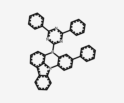 c1ccc(-c2ccc3c(c2)N(c2nc(-c4ccccc4)nc(-c4ccccc4)n2)c2cccc4c5ccccc5n-3c24)cc1